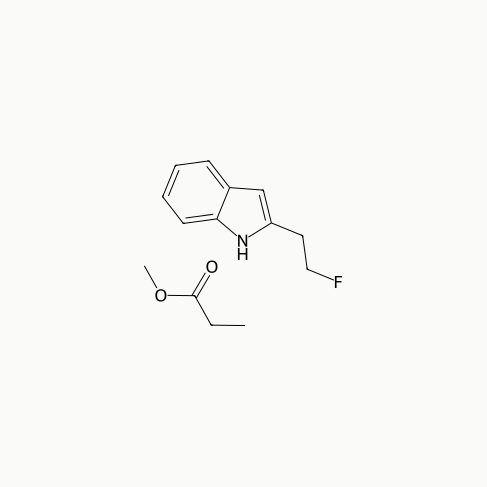 CCC(=O)OC.FCCc1cc2ccccc2[nH]1